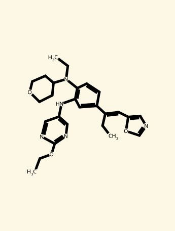 CCOc1ncc(Nc2cc(/C(=C/c3cnco3)CC)ccc2N(CC)C2CCOCC2)cn1